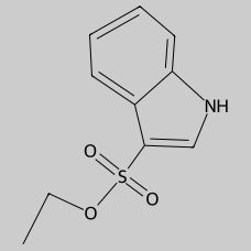 CCOS(=O)(=O)c1c[nH]c2ccccc12